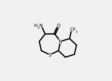 NC1CCSC2CCCC(C(F)(F)F)N2C1=O